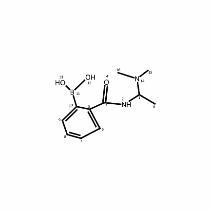 CC(NC(=O)c1ccccc1B(O)O)N(C)C